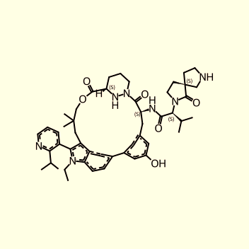 CCn1c(-c2cccnc2C(C)C)c2c3cc(ccc31)-c1cc(O)cc(c1)C[C@H](NC(=O)[C@H](C(C)C)N1CC[C@]3(CCNC3)C1=O)C(=O)N1CCC[C@H](N1)C(=O)OCC(C)(C)C2